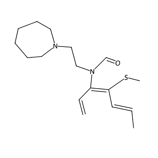 C=C/C(=C(\C=C\C)SC)N(C=O)CCN1CCCCCC1